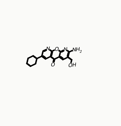 Nc1nc2oc3ncc(C4CCCCC4)cc3c(=O)c2cc1CO